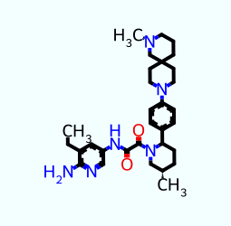 CCc1cc(NC(=O)C(=O)N2C[C@@H](C)CCC2c2ccc(N3CCC4(CCCN(C)C4)CC3)cc2)cnc1N